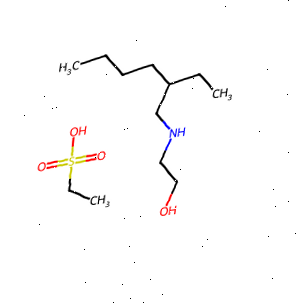 CCCCC(CC)CNCCO.CCS(=O)(=O)O